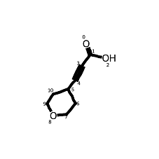 O=C(O)C#CC1CCOCC1